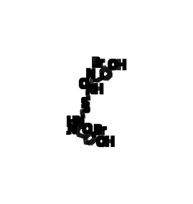 C/N=C(\Cc1ccc(O)c(Br)c1)C(=O)NCCSSCCNC(=O)/C(Cc1ccc(O)c(Br)c1)=N/C